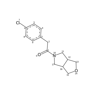 O=C(Cc1ccc(Cl)cc1)N1CC2COCC2C1